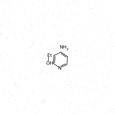 CCO.N.c1ccncc1